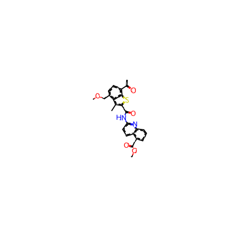 COCc1ccc(C(C)=O)c2sc(C(=O)Nc3ccc4c(C(=O)OC)cccc4n3)c(C)c12